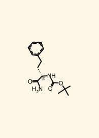 CC(C)(C)OC(=O)N[C@@H](CCc1ccccc1)C(N)=O